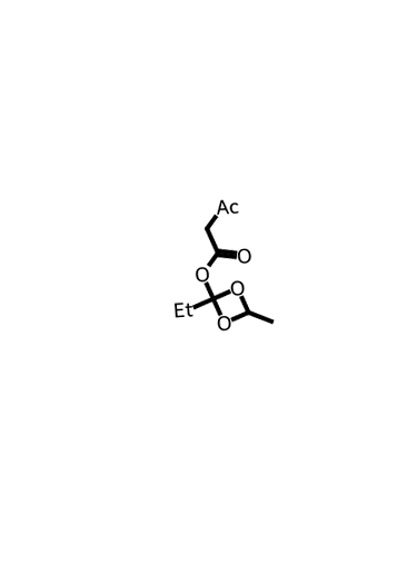 CCC1(OC(=O)CC(C)=O)OC(C)O1